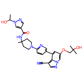 CC(O)n1cc(C(=O)NC2(C)CCN(c3ccc(-c4cc(OCC(C)(C)O)cn5ncc(C#N)c45)cn3)CC2)cn1